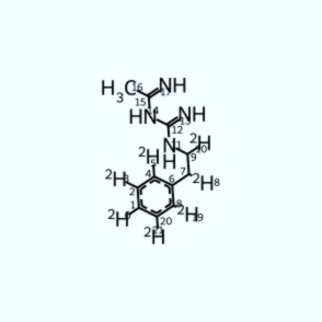 [2H]c1c([2H])c([2H])c(C([2H])C([2H])NC(=N)NC(C)=N)c([2H])c1[2H]